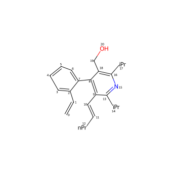 C=Cc1ccccc1-c1c(/C=C/CCC)c(C(C)C)nc(C(C)C)c1CO